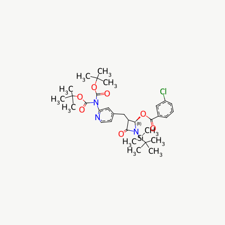 CC(C)(C)OC(=O)N(C(=O)OC(C)(C)C)c1cc(CC2C(=O)N([Si](C)(C)C(C)(C)C)[C@@H]2OC(=O)c2cccc(Cl)c2)ccn1